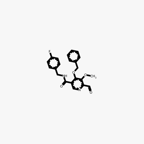 COc1c(C=O)ncc(C(=O)NCc2ccc(F)cc2)c1OCc1ccccc1